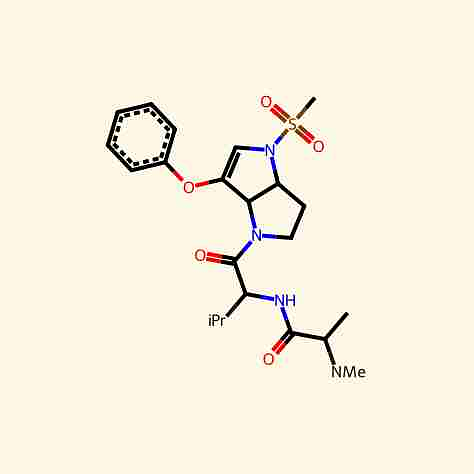 CNC(C)C(=O)NC(C(=O)N1CCC2C1C(Oc1ccccc1)=CN2S(C)(=O)=O)C(C)C